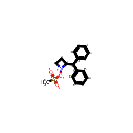 CS(=O)(=O)ON1CCC1C(c1ccccc1)c1ccccc1